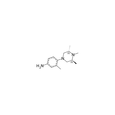 Cc1cc(N)ccc1N1C[C@H](C)N(C)[C@@H](C)C1